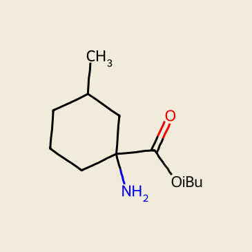 CC(C)COC(=O)C1(N)CCCC(C)C1